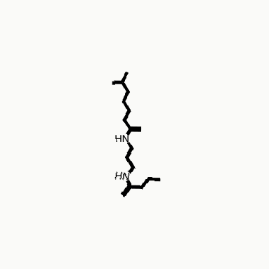 C=C(CCC)NCCCNC(=C)CCCCC(C)C